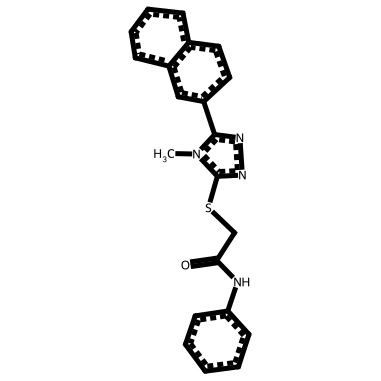 Cn1c(SCC(=O)Nc2ccccc2)nnc1-c1ccc2ccccc2c1